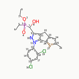 CCOP(=O)(CC)C(O)c1nn(-c2ccc(Cl)cc2Cl)c2c1Cc1cc(C)sc1-2